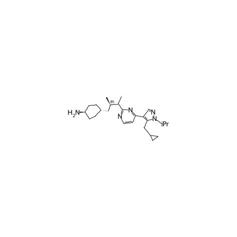 CC(c1nccc(-c2cnn(C(C)C)c2CC2CC2)n1)[C@H](C)C[C@H]1CC[C@H](N)CC1